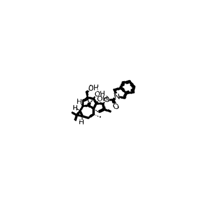 CC1=C[C@]23C(=O)[C@@H](C=C(CO)[C@@H](O)[C@]2(O)[C@H]1OC(=O)N1Cc2ccccc2C1)[C@H]1[C@@H](C[C@H]3C)C1(C)C